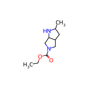 CCOC(=O)N1CC2CC(C)NC2C1